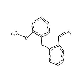 C=Cc1ccccc1Cc1ccccc1OC